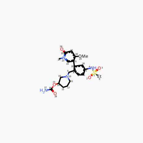 CCS(=O)(=O)Nc1ccc(CN2CCCC(OC(N)=O)C2)c(-c2cn(C)c(=O)cc2OC)c1